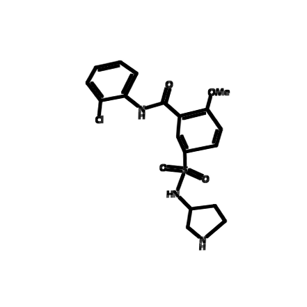 COc1ccc(S(=O)(=O)NC2CCNC2)cc1C(=O)Nc1ccccc1Cl